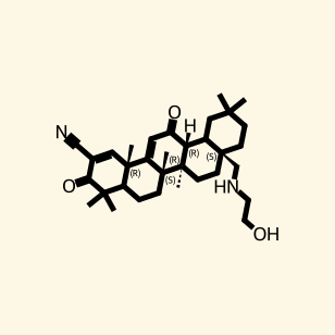 CC1(C)CC[C@]2(CNCCO)CC[C@]3(C)[C@H](C(=O)C=C4[C@@]5(C)C=C(C#N)C(=O)C(C)(C)C5CC[C@]43C)C2C1